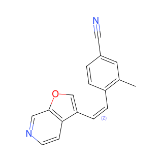 Cc1cc(C#N)ccc1/C=C\c1coc2cnccc12